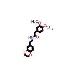 COc1ccc(CC(=O)NCCc2ccc3c(c2)OCCO3)cc1OC